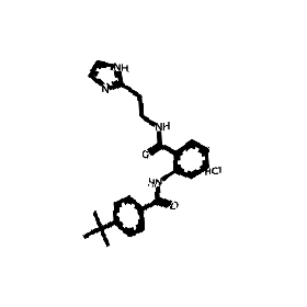 CC(C)(C)c1ccc(C(=O)Nc2ccccc2C(=O)NCCc2ncc[nH]2)cc1.Cl